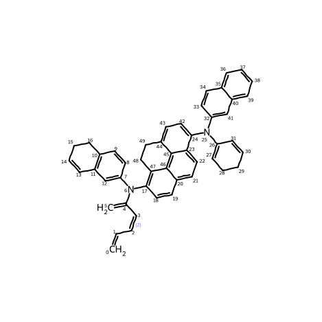 C=C/C=C\C(=C)N(c1ccc2c(c1)C=CCC2)c1ccc2ccc3c(N(C4=CCCC=C4)c4ccc5ccccc5c4)ccc4c3c2c1CC4